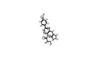 CCC(C)C(=O)Nc1ncc(-c2ccc(OC)cc2)nc1CC1CCCC1